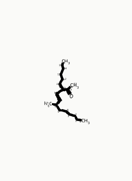 CCCCCCC(C)C=CC(CCCCCC)C(C)=O